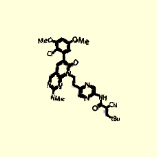 CNc1ncc2cc(-c3cc(OC)cc(OC)c3Cl)c(=O)n(CCc3cnc(NC(=O)/C(C#N)=C/C(C)(C)C)cn3)c2n1